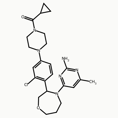 Cc1cc(N2CCCOCC2c2ccc(N3CCN(C(=O)C4CC4)CC3)cc2Cl)nc(N)n1